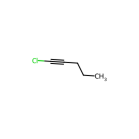 CCCC#CCl